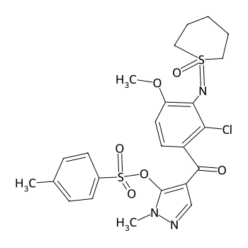 COc1ccc(C(=O)c2cnn(C)c2OS(=O)(=O)c2ccc(C)cc2)c(Cl)c1N=S1(=O)CCCCC1